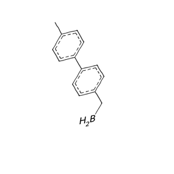 BCc1ccc(-c2ccc(C)cc2)cc1